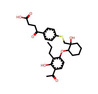 CCCc1c(OC2CCCCC2(O)CSc2ccc(C(=O)CCC(=O)O)cc2)ccc(C(C)=O)c1O